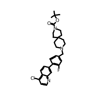 CC(C)(C)OC(=O)N1CCC2(CCN(Cc3ccc(-c4ccc5c(Cl)ccnc5c4)c(F)c3)CC2)CC1